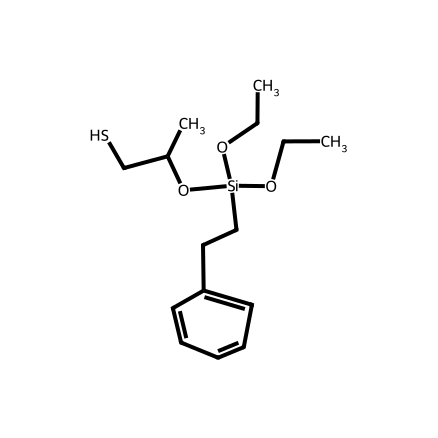 CCO[Si](CCc1ccccc1)(OCC)OC(C)CS